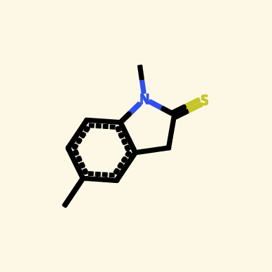 Cc1ccc2c(c1)CC(=S)N2C